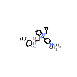 CC(C)[C@@H]1CC[C@@H](C)C[C@H]1OC(=O)Cn1c(-c2ccc(N(C)C)cc2)[n+](CC2CC2)c2ccccc21